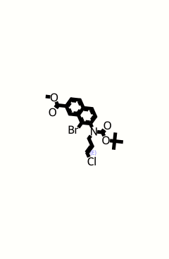 COC(=O)c1ccc2ccc(N(C/C=C/Cl)C(=O)OC(C)(C)C)c(Br)c2c1